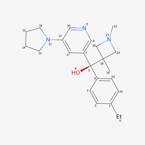 CCc1ccc([C@](O)(c2cncc(N3CCCC3)c2)C2(C)CN(C)C2)cc1